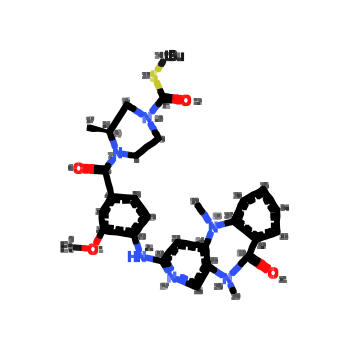 CCOc1cc(C(=O)N2CCN(C(=O)SC(C)(C)C)C[C@@H]2C)ccc1Nc1cc2c(cn1)N(C)C(=O)c1ccccc1N2C